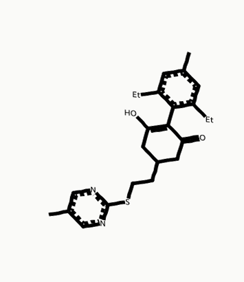 CCc1cc(C)cc(CC)c1C1=C(O)CC(CCSc2ncc(C)cn2)CC1=O